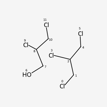 ClCC(Cl)CCl.OCC(Cl)CCl